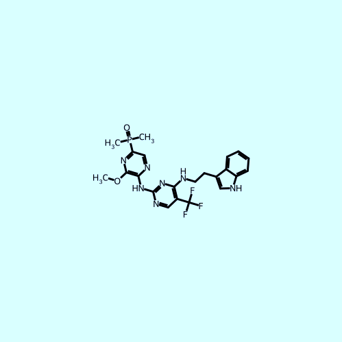 COc1nc(P(C)(C)=O)cnc1Nc1ncc(C(F)(F)F)c(NCCc2c[nH]c3ccccc23)n1